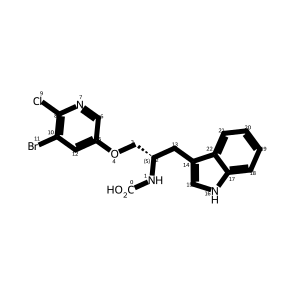 O=C(O)N[C@H](COc1cnc(Cl)c(Br)c1)Cc1c[nH]c2ccccc12